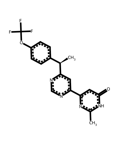 Cc1nc(-c2cc([C@H](C)c3ccc(OC(F)(F)F)cc3)ncn2)cc(=O)[nH]1